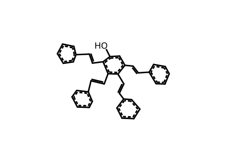 Oc1cc(C=Cc2ccccc2)c(C=Cc2ccccc2)c(C=Cc2ccccc2)c1C=Cc1ccccc1